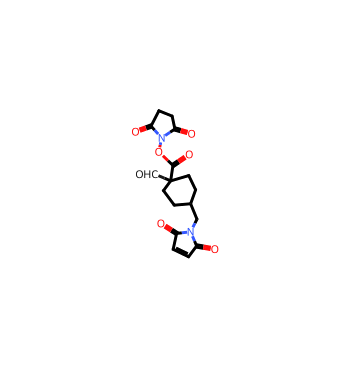 O=CC1(C(=O)ON2C(=O)CCC2=O)CCC(CN2C(=O)C=CC2=O)CC1